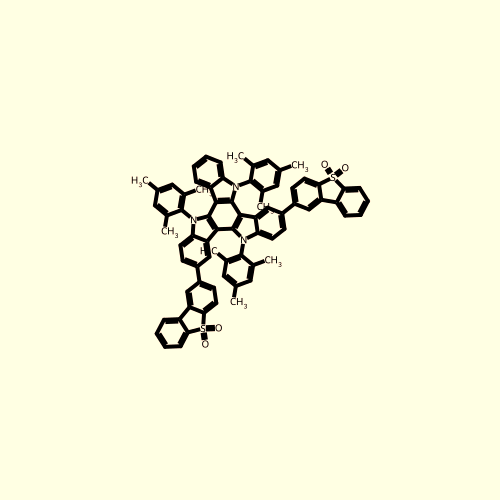 Cc1cc(C)c(-n2c3ccccc3c3c2c2c4cc(-c5ccc6c(c5)-c5ccccc5S6(=O)=O)ccc4n(-c4c(C)cc(C)cc4C)c2c2c4cc(-c5ccc6c(c5)-c5ccccc5S6(=O)=O)ccc4n(-c4c(C)cc(C)cc4C)c32)c(C)c1